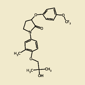 Cc1cc(N2CCC(Oc3ccc(OC(F)(F)F)cc3)C2=O)ccc1OCC(C)(C)O